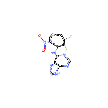 O=[N+]([O-])c1ccc(F)c(F)c1Nc1ncnc2[nH]cnc12